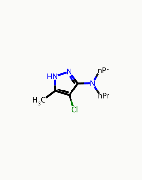 CCCN(CCC)c1n[nH]c(C)c1Cl